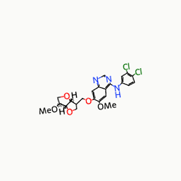 COc1cc2c(Nc3ccc(Cl)c(Cl)c3)ncnc2cc1OCC1CO[C@@H]2[C@@H](OC)CO[C@H]12